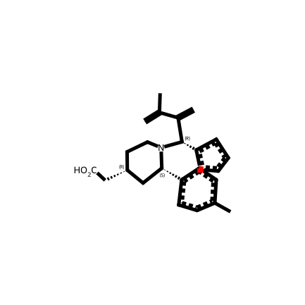 C=C(C)C(=C)[C@H](c1ccco1)N1CC[C@@H](CC(=O)O)C[C@H]1c1ccc(C)cc1